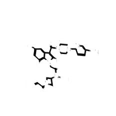 C=CC(=O)N1CC(N(C)C(=O)Cn2c(CC)c(C(=O)N3CCN(c4ccc(C#N)cn4)C[C@H]3C)c3cc(Cl)cc(C)c32)C1